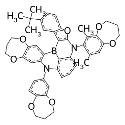 Cc1cc2c(c(C)c1N1c3cccc4c3B(c3cc5c(cc3N4c3ccc4c(c3)OCCCO4)OCCCO5)c3c1oc1ccc(C(C)(C)C)cc31)OCCCO2